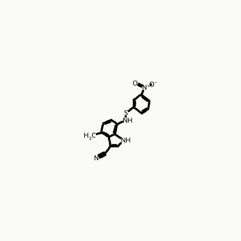 Cc1ccc(NSc2cccc([N+](=O)[O-])c2)c2[nH]cc(C#N)c12